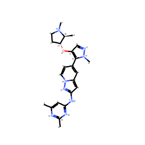 Cc1cc(Nc2cc3cc(-c4c(O[C@@H]5CCN(C)[C@H]5C)cnn4C)ccn3n2)nc(C)n1